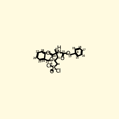 CC(CCCP(=O)(Cl)Cl)(NC(=O)OCc1ccccc1)C(=O)OCc1ccccc1